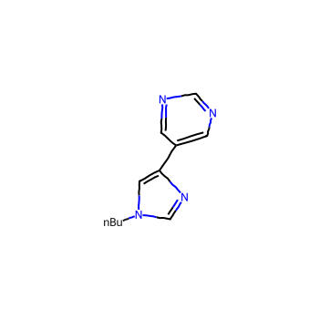 [CH2]CCCn1cnc(-c2cncnc2)c1